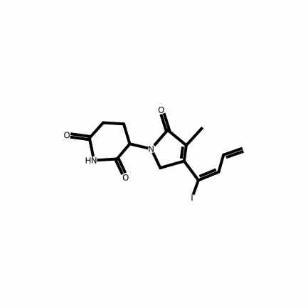 C=C/C=C(/I)C1=C(C)C(=O)N(C2CCC(=O)NC2=O)C1